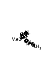 COc1cc(OC)cc(N(CC2CNCCN2)c2ccc3ncc(C4C=NN(C)C4)nc3c2)c1